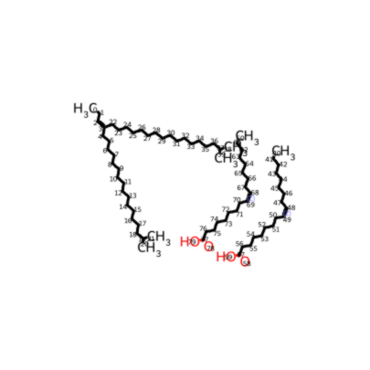 CCC=C(CCCCCCCCCCCCCCCC(C)C)CCCCCCCCCCCCCCCC(C)C.CCCCCCCC/C=C\CCCCCCCC(=O)O.CCCCCCCC/C=C\CCCCCCCC(=O)O